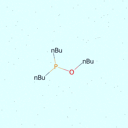 CCCCOP(CCCC)CCCC